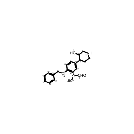 CC(C)(C)OC=O.OC1CNCCC1c1ccc(OCc2ccccc2)cc1